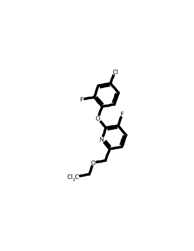 Fc1cc(Cl)ccc1Oc1nc(COCC(Cl)(Cl)Cl)ccc1F